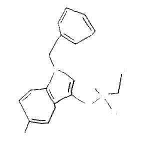 CC[N+](C)(C)Oc1cn(Cc2ccccc2)c2ccc(Cl)cc12